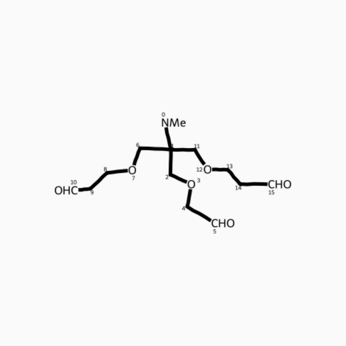 CNC(COCC=O)(COCCC=O)COCCC=O